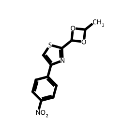 CC1OC(c2nc(-c3ccc([N+](=O)[O-])cc3)cs2)O1